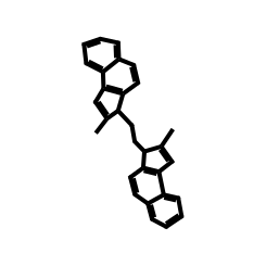 CC1=Cc2c(ccc3ccccc23)C1CCC1C(C)=Cc2c1ccc1ccccc21